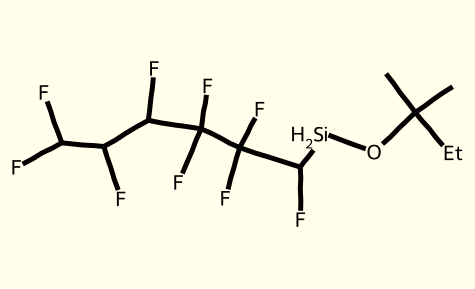 CCC(C)(C)O[SiH2]C(F)C(F)(F)C(F)(F)C(F)C(F)C(F)F